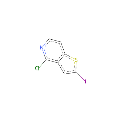 Clc1nccc2sc(I)cc12